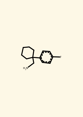 NCC1(c2ccc(F)cc2)CCCCC1